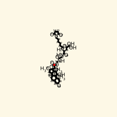 CCC(=O)O[C@]1(C(=O)COCNC(=O)CNC(=O)[C@H](CCC(O)O)NC(=O)CCCCCN2C(=O)C=CC2=O)[C@@H](C)CC2[C@@H]3CCC4=CC(=O)C=C[C@]4(C)[C@@]3(Cl)[C@@H](O)C[C@@]21C